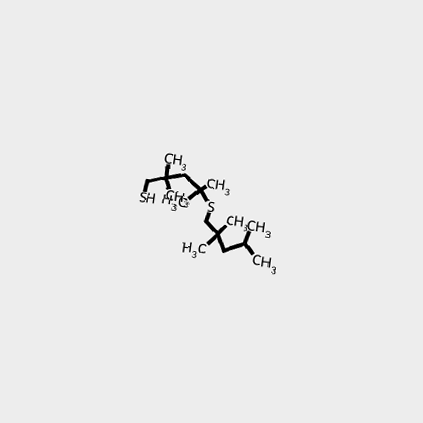 CC(C)CC(C)(C)CSC(C)(C)CC(C)(C)CS